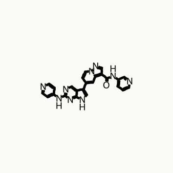 O=C(Nc1cccnc1)c1cnn2ccc(-c3c[nH]c4nc(Nc5ccncc5)ncc34)cc12